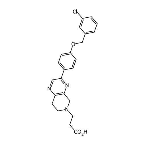 O=C(O)CCN1CCc2ncc(-c3ccc(OCc4cccc(Cl)c4)cc3)nc2C1